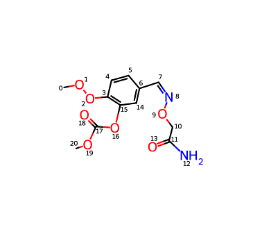 COOc1ccc(/C=N\OCC(N)=O)cc1OC(=O)OC